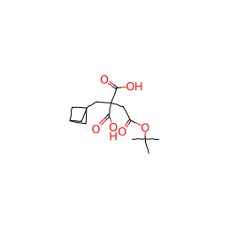 CC(C)(C)OC(=O)CC(CC12CC(C1)C2)(C(=O)O)C(=O)O